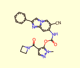 Cn1ncc(C(=O)N2CCC2)c1OC(=O)Nc1cc2nc(-c3ccccc3)cn2cc1C#N